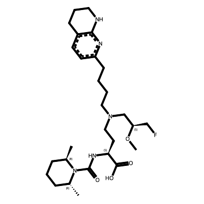 CO[C@H](CF)CN(CCCCc1ccc2c(n1)NCCC2)CC[C@H](NC(=O)N1[C@H](C)CCC[C@H]1C)C(=O)O